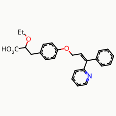 CCOC(Cc1ccc(OCC=C(c2ccccc2)c2ccccn2)cc1)C(=O)O